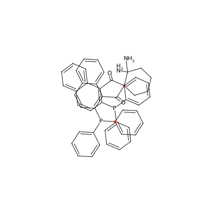 NC1(N)CCCCC1(C(=O)c1c(P(c2ccccc2)c2ccccc2)ccc2ccccc12)C(=O)c1c(P(c2ccccc2)c2ccccc2)ccc2ccccc12